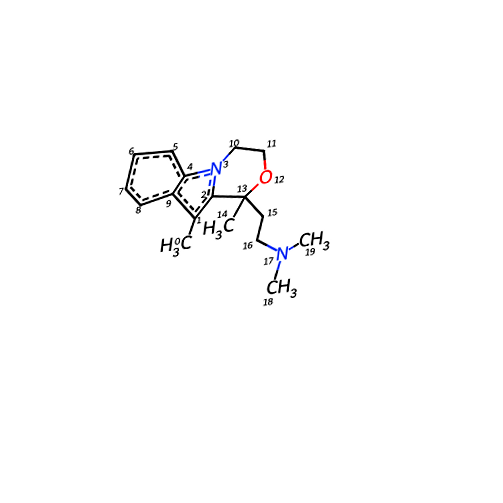 Cc1c2n(c3ccccc13)CCOC2(C)CCN(C)C